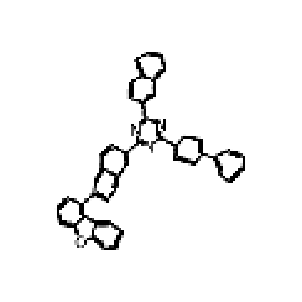 C1=CC(c2nc(-c3ccc4ccccc4c3)nc(-c3ccc4cc(-c5cccc6oc7ccccc7c56)ccc4c3)n2)CC=C1c1ccccc1